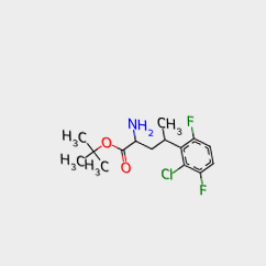 CC(CC(N)C(=O)OC(C)(C)C)c1c(F)ccc(F)c1Cl